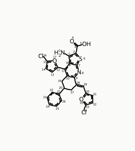 Nc1c(C(=O)O)sc2nc3c(c(-c4ccc(Cl)o4)c12)CC(c1ccccc1)CC3=Cc1ccc(Cl)o1